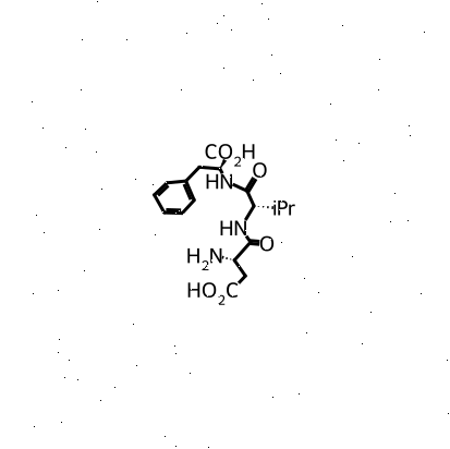 CC(C)[C@H](NC(=O)[C@@H](N)CC(=O)O)C(=O)N[C@@H](Cc1ccccc1)C(=O)O